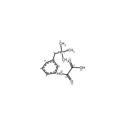 C[PH](C)(C)Cc1ccccc1.O=C(O)C(=O)O